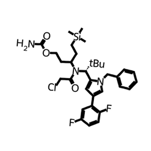 CC(C)(C)[C@H](c1cc(-c2cc(F)ccc2F)cn1Cc1ccccc1)N(C(=O)CCl)C(CCOC(N)=O)CC[Si](C)(C)C